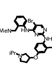 CNCc1ccccc1Nc1nc(Nc2ccc(OC3CCN(C(C)C)C3)cc2C)ncc1Br